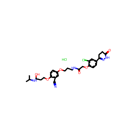 CC(C)NC(O)CCOc1ccc(OCCCNC(=O)COc2ccc(C3=NNC(=O)CC3)cc2Cl)cc1C#N.Cl